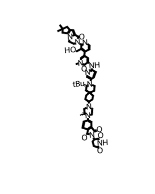 C[C@H]1CN(C2CCC3(CC2)CCN(c2ccc(Nc4cc(-c5ccnc(N6CCn7c(cc8c7CC(C)(C)C8)C6=O)c5CO)cn(C)c4=O)nc2)[C@@H](C(C)(C)C)C3)CCN1c1ccc2c(c1)C(=O)N(C1CCC(=O)NC1=O)C2=O